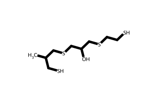 CC(CS)CSCC(O)CSCCS